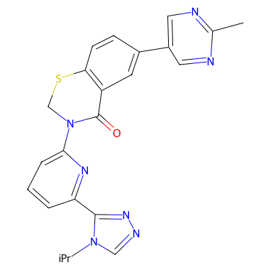 Cc1ncc(-c2ccc3c(c2)C(=O)N(c2cccc(-c4nncn4C(C)C)n2)CS3)cn1